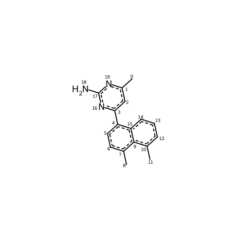 Cc1cc(-c2ccc(C)c3c(C)cccc23)nc(N)n1